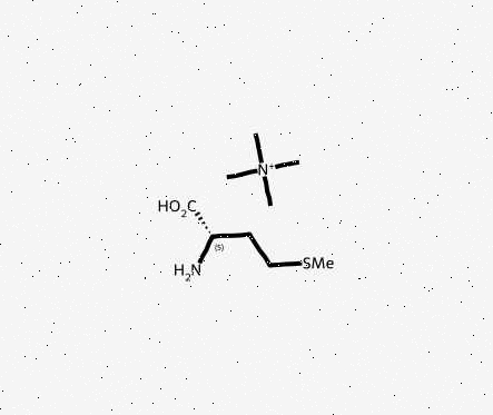 CSCC[C@H](N)C(=O)O.C[N+](C)(C)C